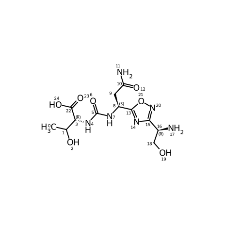 CC(O)[C@@H](NC(=O)N[C@@H](CC(N)=O)c1nc([C@@H](N)CO)no1)C(=O)O